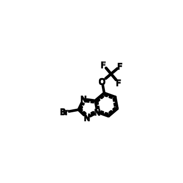 FC(F)(F)Oc1cccn2nc(Br)nc12